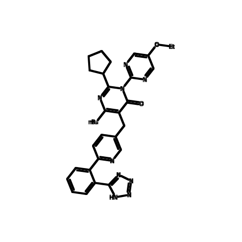 CCCCc1nc(C2CCCC2)n(-c2ncc(OCC)cn2)c(=O)c1Cc1ccc(-c2ccccc2-c2nnn[nH]2)nc1